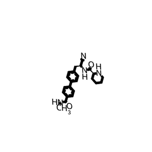 CNC(=O)c1ccc(-c2ccc(C[C@@H](C#N)NC(=O)[C@@H]3CCCCN3)cc2)cc1